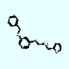 c1ccc(COc2cccc(CCNCc3ccco3)c2)cc1